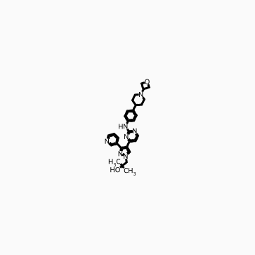 CC(C)(O)Cn1cc(-c2ccnc(Nc3ccc(C4CCN(C5COC5)CC4)cc3)n2)c(-c2cccnc2)n1